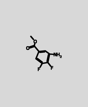 COC(=O)c1cc(N)c(F)c(F)c1